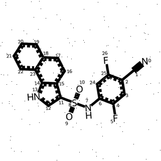 N#Cc1cc(F)c(NS(=O)(=O)c2c[nH]c3c2ccc2ccccc23)cc1F